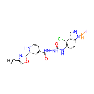 Cc1coc(C2C=C(C(=O)NNC(=O)Nc3ccc4c(cnn4PI)c3Cl)C=CN2)n1